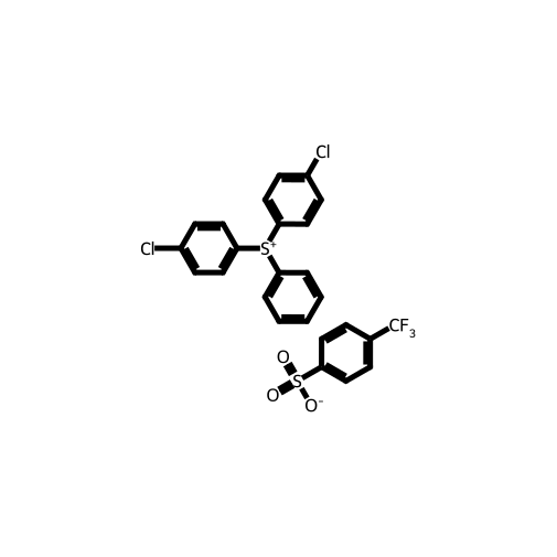 Clc1ccc([S+](c2ccccc2)c2ccc(Cl)cc2)cc1.O=S(=O)([O-])c1ccc(C(F)(F)F)cc1